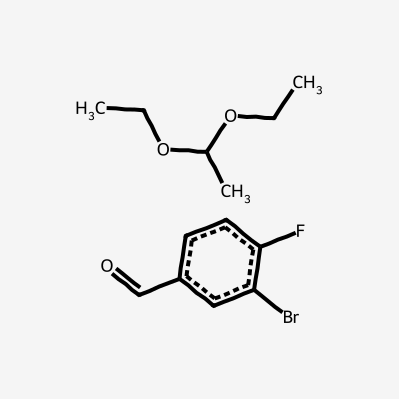 CCOC(C)OCC.O=Cc1ccc(F)c(Br)c1